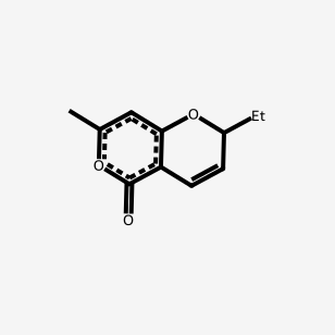 CCC1C=Cc2c(cc(C)oc2=O)O1